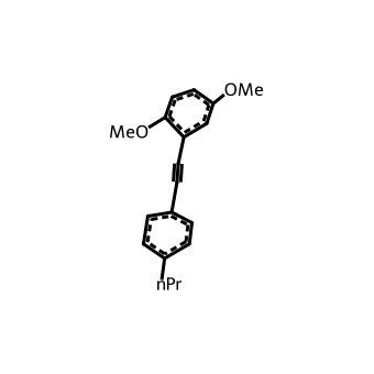 CCCc1ccc(C#Cc2cc(OC)ccc2OC)cc1